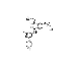 Cc1cc(NC(=O)c2ccc(SC(C)(C)CO)cc2N2CCC3(CC2)CC3)cc(N2CCC(F)(F)CC2)n1